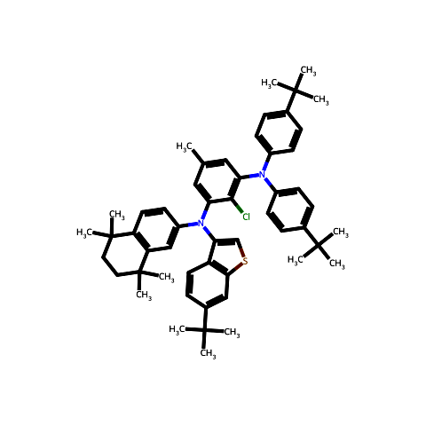 Cc1cc(N(c2ccc(C(C)(C)C)cc2)c2ccc(C(C)(C)C)cc2)c(Cl)c(N(c2ccc3c(c2)C(C)(C)CCC3(C)C)c2csc3cc(C(C)(C)C)ccc23)c1